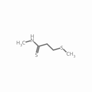 CNC(=S)CCSC